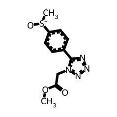 COC(=O)Cn1nnnc1-c1ccc([S+](C)[O-])cc1